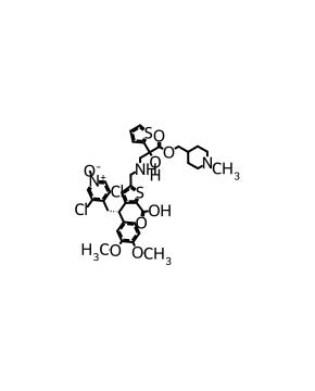 COc1ccc([C@H](Cc2c(Cl)c[n+]([O-])cc2Cl)c2cc(CNCC(O)(C(=O)OCC3CCN(C)CC3)c3cccs3)sc2C(=O)O)cc1OC